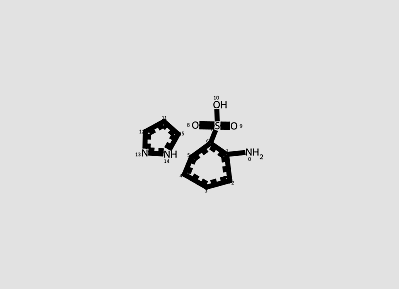 Nc1ccccc1S(=O)(=O)O.c1cn[nH]c1